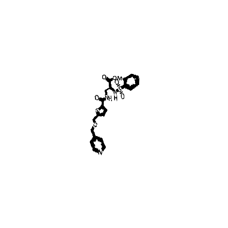 COC(=O)[C@H](CNC(=O)c1ccc(COCc2ccncc2)s1)NS(=O)(=O)c1ccccc1